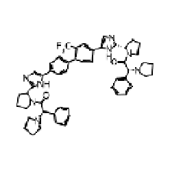 O=C([C@@H](c1ccccc1)N1CCCC1)N1CCC[C@H]1c1ncc(-c2ccc(-c3ccc(-c4cnc([C@@H]5CCCN5C(=O)[C@@H](c5ccccc5)N5CCCC5)[nH]4)cc3C(F)(F)F)cc2)[nH]1